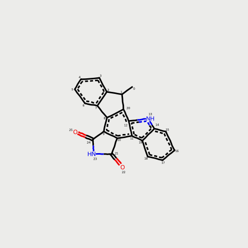 CC1c2ccccc2-c2c3c(c4c([nH]c5ccccc54)c21)C(=O)NC3=O